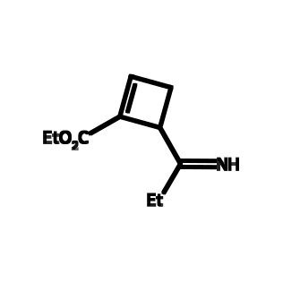 CCOC(=O)C1=CCC1C(=N)CC